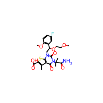 COCCOC(Cn1c(=O)n(C(C)(C)C(N)=O)c(=O)c2c(C)c(C(=O)O)sc21)c1cc(F)ccc1OC